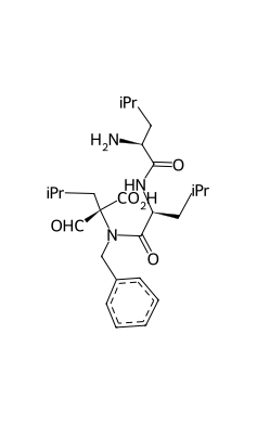 CC(C)C[C@H](NC(=O)[C@@H](N)CC(C)C)C(=O)N(Cc1ccccc1)[C@](C=O)(CC(C)C)C(=O)O